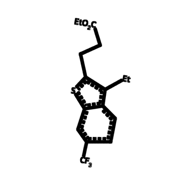 CCOC(=O)CCc1sc2cc(C(F)(F)F)ccc2c1CC